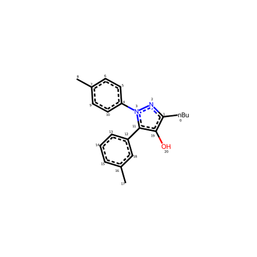 CCCCc1nn(-c2ccc(C)cc2)c(-c2cccc(C)c2)c1O